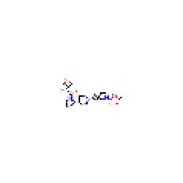 CCOC(O)N1CCC2(CC(N3CCC([C@@H]4CCCN4C(=O)NC4COC4)CC3)C2)C1